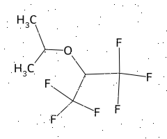 C[C](C)OC(C(F)(F)F)C(F)(F)F